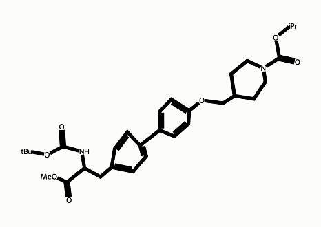 COC(=O)C(Cc1ccc(-c2ccc(OCC3CCN(C(=O)OC(C)C)CC3)cc2)cc1)NC(=O)OC(C)(C)C